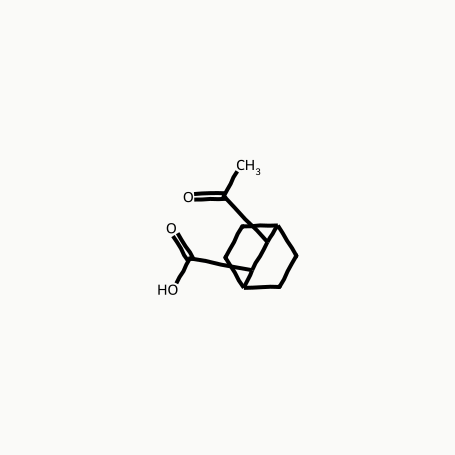 CC(=O)C1C2CCC(CC2)C1C(=O)O